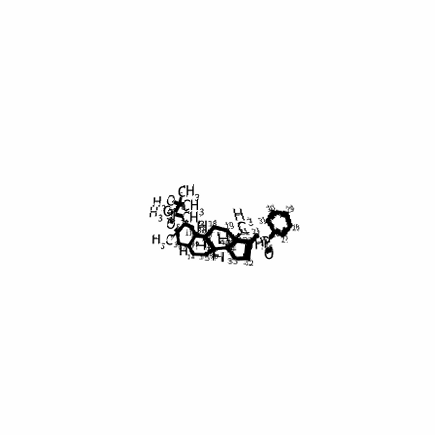 CC(C)(C)[Si](C)(C)O[C@]1(C)CC[C@H]2[C@H](CC[C@@H]3[C@@H]2CC[C@]2(C)C(C[PH](=O)c4ccccc4)=CC[C@@H]32)C1